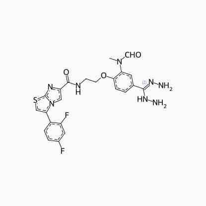 CN(C=O)c1cc(/C(=N/N)NN)ccc1OCCNC(=O)c1cn2c(-c3ccc(F)cc3F)csc2n1